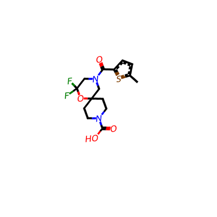 Cc1ccc(C(=O)N2CC(F)(F)OC3(CCN(C(=O)O)CC3)C2)s1